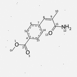 COC(=O)c1ccc(C=C(C)C(N)=O)cc1